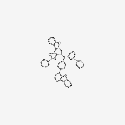 c1ccc(-c2cccc(N(c3ccc(-c4cccc5c4sc4ccccc45)cc3)c3cc4oc5ccccc5c4c4oc(-c5ccccc5)nc34)c2)cc1